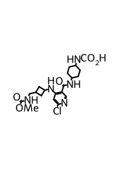 COC(=O)NCC1CC(Nc2cc(Cl)ncc2C(=O)NC2CCC(NC(=O)O)CC2)C1